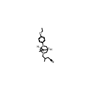 CCOc1ccc(N2C[C@H]3CN(CC(C)CC#N)C[C@@H]2C(C)(C)C3)cc1